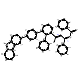 C=C(/N=C(\C=C(/C)c1cccc(-c2ccc(-c3ccc4sc5ccccc5c4c3)cc2)c1-c1ccccc1)c1ccccc1)c1ccccc1